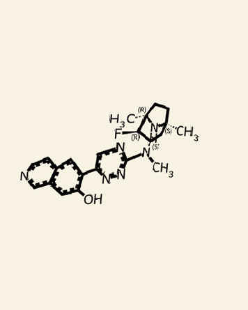 CN(c1ncc(-c2cc3ccncc3cc2O)nn1)[C@H]1C[C@]2(C)CC[C@@](C)(N2)[C@@H]1F